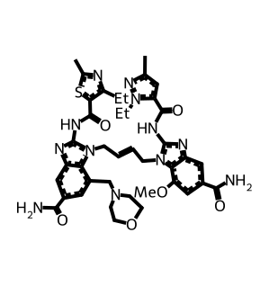 CCc1nc(C)sc1C(=O)Nc1nc2cc(C(N)=O)cc(CN3CCOCC3)c2n1CC=CCn1c(NC(=O)c2cc(C)nn2CC)nc2cc(C(N)=O)cc(OC)c21